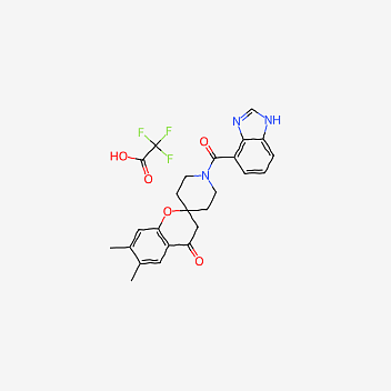 Cc1cc2c(cc1C)C(=O)CC1(CCN(C(=O)c3cccc4[nH]cnc34)CC1)O2.O=C(O)C(F)(F)F